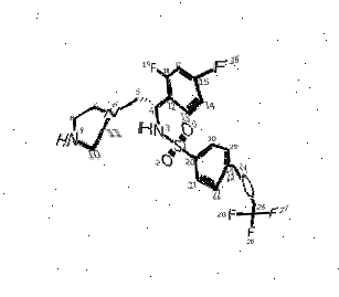 O=S(=O)(N[C@H](CN1CCNCC1)c1ccc(F)cc1F)c1ccc(OC(F)(F)F)cc1